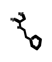 C=CC(=C)NCC[n+]1ccccc1